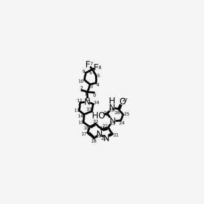 CC(C)(C1CCC(F)(F)CC1)N1CCC(Cc2ccn3ncc(N4CCC(=O)NC4O)c3c2)CC1